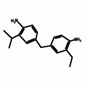 CCc1cc(Cc2ccc(N)c(C(C)C)c2)ccc1N